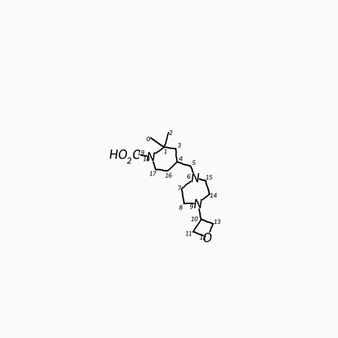 CC1(C)CC(CN2CCN(C3COC3)CC2)CCN1C(=O)O